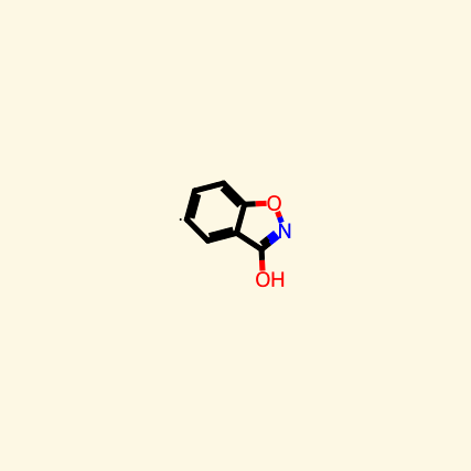 Oc1noc2cc[c]cc12